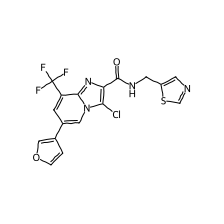 O=C(NCc1cncs1)c1nc2c(C(F)(F)F)cc(-c3ccoc3)cn2c1Cl